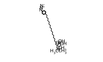 C[N+](C)(C)CC(CCCCCCCCCCCCCCCCCCc1ccc(N=[N+]=[N-])cc1)OP(=O)(O)O